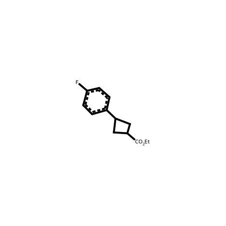 CCOC(=O)C1CC(c2ccc(F)cc2)C1